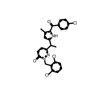 Cc1cc(C(C)c2ccc(=O)n(Cc3c(Cl)cccc3Cl)n2)[nH]c1C(=O)c1ccc(Cl)cc1